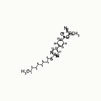 CCCCCCCCCSc1ncc(-c2ccc(C(=O)O[C@H](C)C#N)cc2)cn1